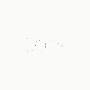 C#C[CH]c1ccc(F)c(Br)c1